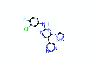 Fc1ccc(Nc2ncc(-c3cncnc3)c(-n3ccnn3)n2)cc1Cl